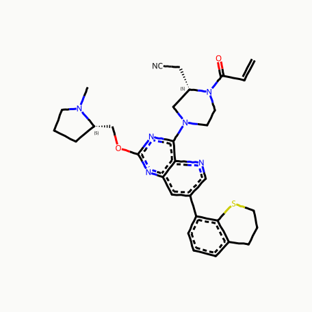 C=CC(=O)N1CCN(c2nc(OC[C@@H]3CCCN3C)nc3cc(-c4cccc5c4SCCC5)cnc23)C[C@@H]1CC#N